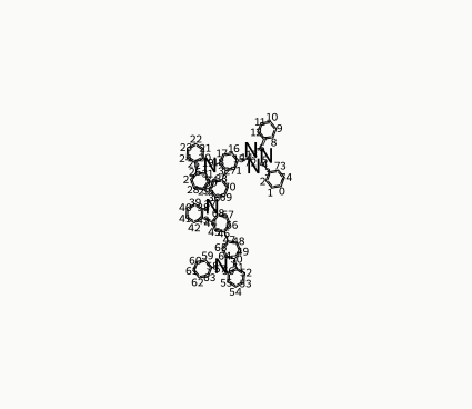 c1ccc(-c2nc(-c3ccccc3)nc(-c3ccc(-n4c5ccccc5c5ccccc54)c(-c4ccc(-n5c6ccccc6c6cc(-c7ccc8c9ccccc9n(-c9ccccc9)c8c7)ccc65)cc4)c3)n2)cc1